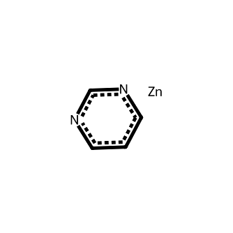 [Zn].c1cncnc1